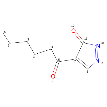 CCCCCC(=O)C1=CN=NC1=O